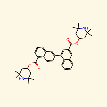 CC1(C)CC(OC(=O)c2cc(-c3ccc4c(C(=O)OC5CC(C)(C)NC(C)(C)C5)cccc4c3)c3ccccc3c2)CC(C)(C)N1